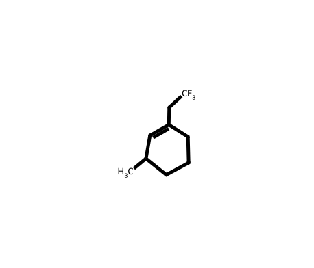 CC1C=C(CC(F)(F)F)CCC1